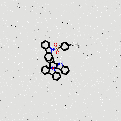 Cc1ccc(S(=O)(=O)n2c3ccccc3c3cc4cc(c32)-c2c-4c3cc4c5ccccc5n(c24)[N+]32c3ccccc3-c3ccccc32)cc1